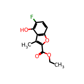 CCOC(=O)c1oc2ccc(F)c(O)c2c1C